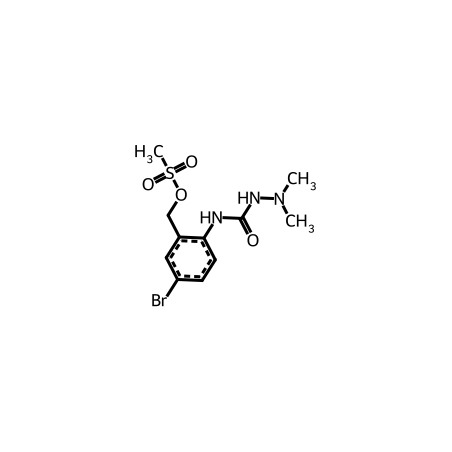 CN(C)NC(=O)Nc1ccc(Br)cc1COS(C)(=O)=O